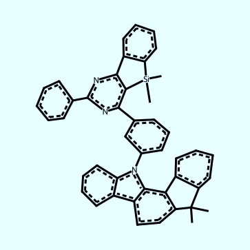 CC1(C)c2ccccc2-c2c1ccc1c3ccccc3n(-c3cccc(-c4nc(-c5ccccc5)nc5c4[Si](C)(C)c4ccccc4-5)c3)c21